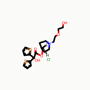 O=C(O[C@H]1C[N+]2(CCOCCO)CCC1CC2)C(O)(c1cccs1)c1cccs1.[Cl-]